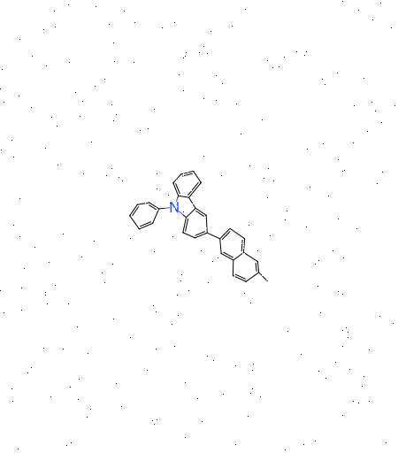 Cc1ccc2cc(-c3ccc4c(c3)c3ccccc3n4-c3ccccc3)ccc2c1